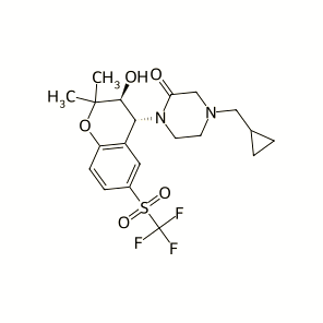 CC1(C)Oc2ccc(S(=O)(=O)C(F)(F)F)cc2[C@@H](N2CCN(CC3CC3)CC2=O)[C@@H]1O